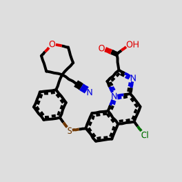 N#CC1(c2cccc(Sc3ccc4c(Cl)cc5nc(C(=O)O)cn5c4c3)c2)CCOCC1